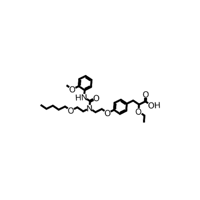 CCCCCOCCN(CCOc1ccc(CC(OCC)C(=O)O)cc1)C(=O)Nc1ccccc1OC